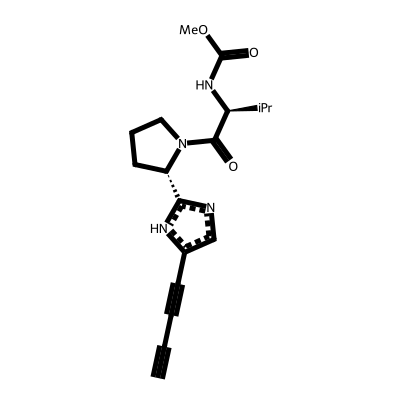 C#CC#Cc1cnc([C@@H]2CCCN2C(=O)[C@@H](NC(=O)OC)C(C)C)[nH]1